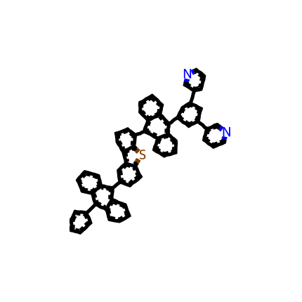 c1ccc(-c2c3ccccc3c(-c3ccc4sc5c(-c6c7ccccc7c(-c7cc(-c8cccnc8)cc(-c8cccnc8)c7)c7ccccc67)cccc5c4c3)c3ccccc23)cc1